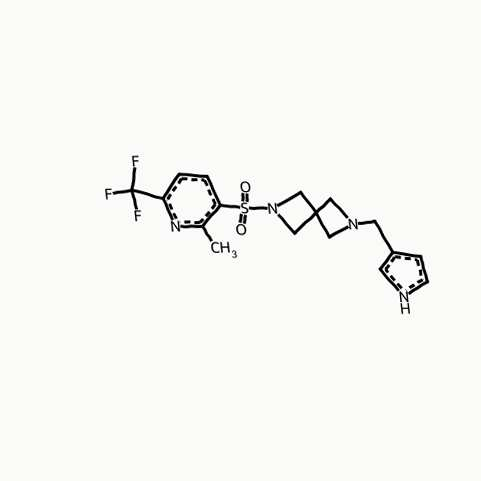 Cc1nc(C(F)(F)F)ccc1S(=O)(=O)N1CC2(CN(Cc3cc[nH]c3)C2)C1